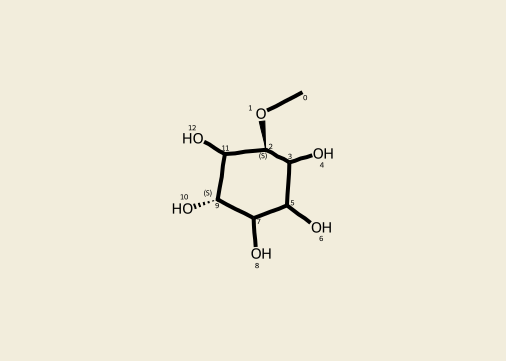 CO[C@H]1C(O)C(O)C(O)[C@H](O)C1O